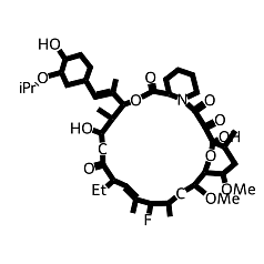 CCC1/C=C(\C)C(F)C(C)CC(OC)C2OC(O)(C(=O)C(=O)N3CCCCC3C(=O)OC(C(C)=CC3CCC(O)C(OC(C)C)C3)C(C)C(O)CC1=O)C(C)CC2OC